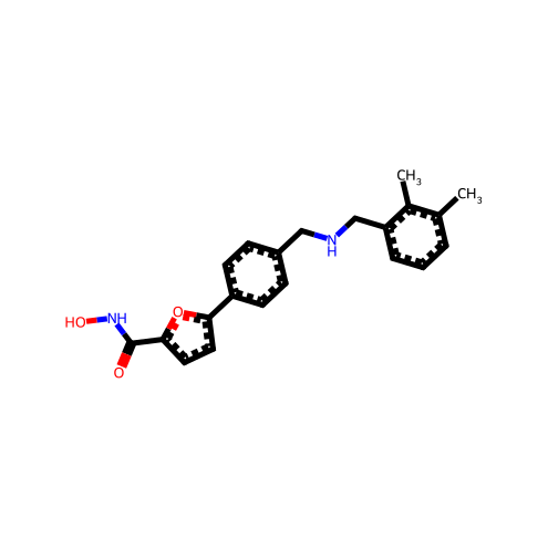 Cc1cccc(CNCc2ccc(-c3ccc(C(=O)NO)o3)cc2)c1C